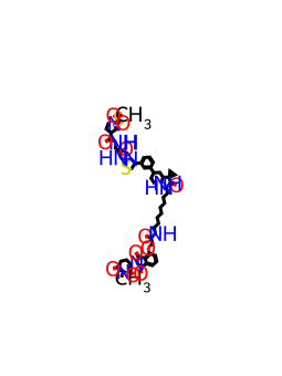 CN1C(=O)CCC(N2C(=O)c3cccc(OCC(=O)NCCCCCCCCNC(=O)C4(C5CC(c6cccc(C7CSC(NC(=O)CNC(=O)C8CCN(S(C)(=O)=O)C8)N7)c6)CCN5)CC4)c3C2=O)C1=O